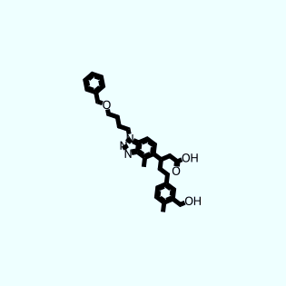 Cc1ccc(CCC(CC(=O)O)c2ccc3c(nnn3CCCCOCc3ccccc3)c2C)cc1CO